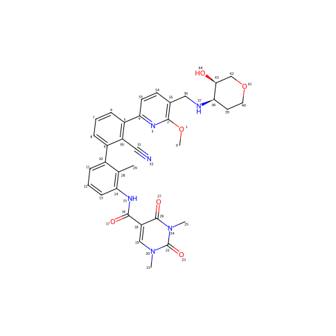 COc1nc(-c2cccc(-c3cccc(NC(=O)c4cn(C)c(=O)n(C)c4=O)c3C)c2C#N)ccc1CN[C@@H]1CCOC[C@@H]1O